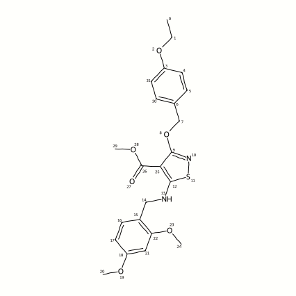 CCOc1ccc(COc2nsc(NCc3ccc(OC)cc3OC)c2C(=O)OC)cc1